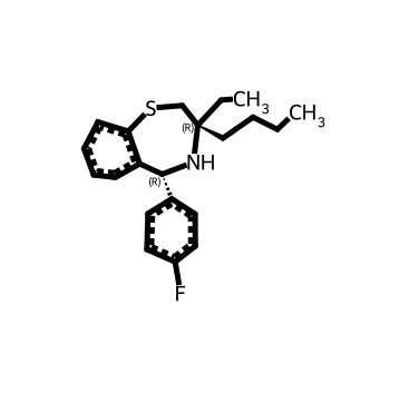 CCCC[C@]1(CC)CSc2ccccc2[C@@H](c2ccc(F)cc2)N1